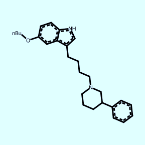 CCCCOc1ccc2[nH]cc(CCCCN3CCCC(c4ccccc4)C3)c2c1